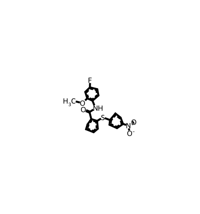 COc1cc(F)ccc1NC(=O)c1ccccc1Sc1ccc([N+](=O)[O-])cc1